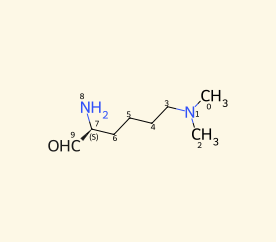 CN(C)CCCC[C@H](N)C=O